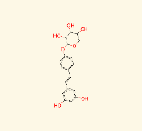 Oc1cc(O)cc(/C=C/c2ccc(OC3OCC(O)C(O)C3O)cc2)c1